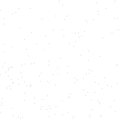 CC(C(=O)NNc1c(Cl)c(NCCC[Si](C)(C)C)c(C#N)c(Cl)c1C#N)[C@@H](C)c1cccc2ccccc12